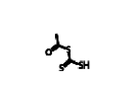 CC(=O)SC(=S)S